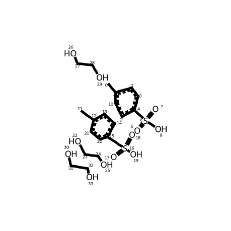 Cc1ccc(S(=O)(=O)O)cc1.Cc1ccc(S(=O)(=O)O)cc1.OCCO.OCCO.OCCO